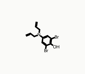 C=CCN(CC=C)c1cc(Br)c(O)c(Br)c1